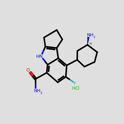 Cl.NC(=O)c1cc(F)c(C2CCC[C@H](N)C2)c2c3c([nH]c12)CCC3